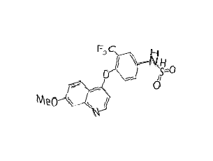 COc1ccc2c(Oc3ccc(N[SH](=O)=O)cc3C(F)(F)F)ccnc2c1